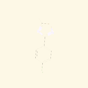 Sc1nc(-c2ccc(Br)cc2)ns1